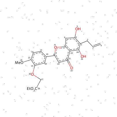 C=CCc1c(O)cc2oc(-c3ccc(OC)c(OCC(=O)OCC)c3)cc(=O)c2c1O